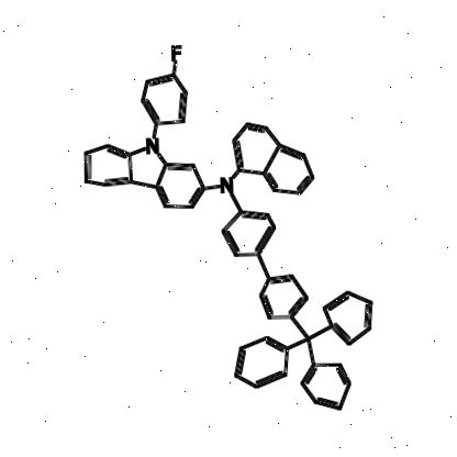 Fc1ccc(-n2c3ccccc3c3ccc(N(c4ccc(-c5ccc(C(c6ccccc6)(c6ccccc6)c6ccccc6)cc5)cc4)c4cccc5ccccc45)cc32)cc1